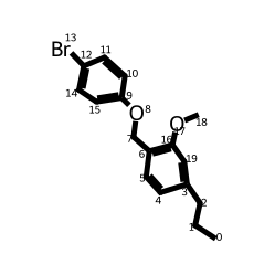 CCCc1ccc(COc2ccc(Br)cc2)c(OC)c1